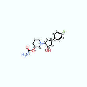 NC(=O)OC1CCCN(C2CC(c3ccc(F)cc3)CC2O)C1